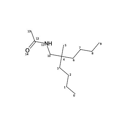 CCCCC(C)(CCCC)CNC(C)=O